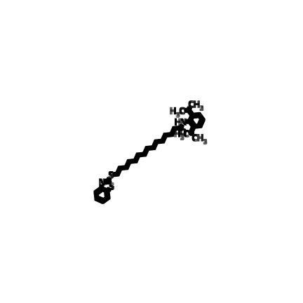 CC(C)c1cccc(C(C)C)c1NC(=O)CCCCCCCCCCCCCCSc1nc2ccccc2s1